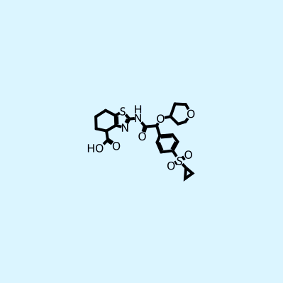 O=C(O)C1CCCc2sc(NC(=O)C(OC3CCOCC3)c3ccc(S(=O)(=O)C4CC4)cc3)nc21